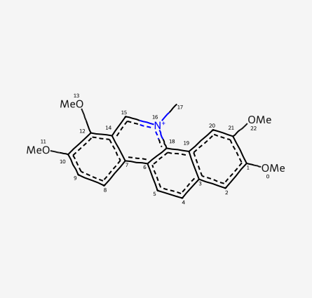 COc1cc2ccc3c4ccc(OC)c(OC)c4c[n+](C)c3c2cc1OC